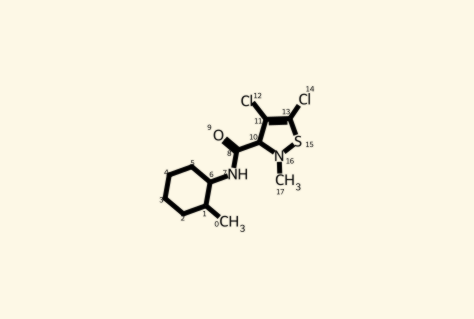 CC1CCCCC1NC(=O)C1C(Cl)=C(Cl)SN1C